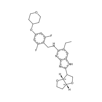 CCc1cc2[nH]c(C3CO[C@@H]4CCO[C@H]34)nc2nc1NCc1c(F)cc(OC2CCOCC2)cc1F